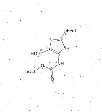 CCCCCCCCOC(=O)Nc1sc(CCCCC)cc1C(=O)O